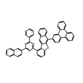 c1ccc(-c2nc(-c3ccc4ccccc4c3)nc(-c3cccc4oc5c(-c6ccc7c8ccccc8c8ccccc8c7c6)c6ccccc6cc5c34)n2)cc1